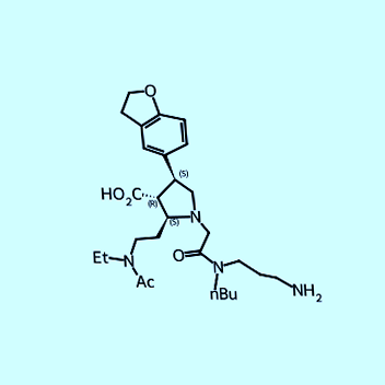 CCCCN(CCCN)C(=O)CN1C[C@H](c2ccc3c(c2)CCO3)[C@@H](C(=O)O)[C@@H]1CCN(CC)C(C)=O